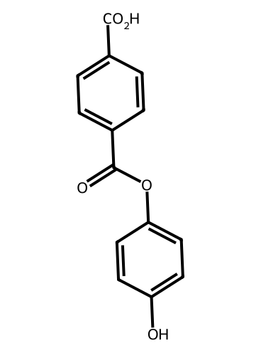 O=C(O)c1ccc(C(=O)Oc2ccc(O)cc2)cc1